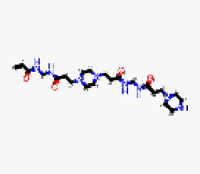 C=CC(=O)NCNC(=O)CCN1CCN(CCC(=O)NCNC(=O)CCN2CCNCC2)CC1